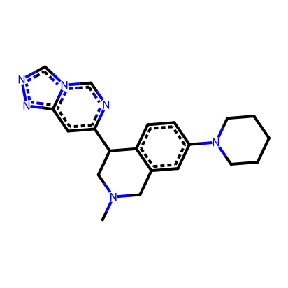 CN1Cc2cc(N3CCCCC3)ccc2C(c2cc3nncn3cn2)C1